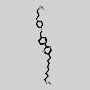 CCCCCCCCCc1cnc(-c2ccc(CC[C@H]3CC[C@H](CCCC)CC3)cc2)nc1